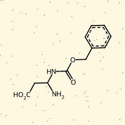 NC(CC(=O)O)NC(=O)OCc1ccccc1